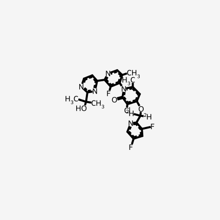 [2H]C([2H])(Oc1cc(C)n(-c2c(C)cnc(-c3ccnc(C(C)(C)O)n3)c2F)c(=O)c1Cl)c1ncc(F)cc1F